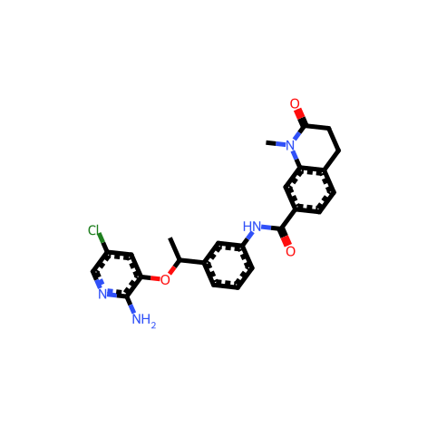 CC(Oc1cc(Cl)cnc1N)c1cccc(NC(=O)c2ccc3c(c2)N(C)C(=O)CC3)c1